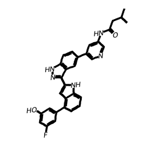 CC(C)CC(=O)Nc1cncc(-c2ccc3[nH]nc(-c4cc5c(-c6cc(O)cc(F)c6)cccc5[nH]4)c3c2)c1